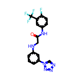 O=C(CNc1cccc(-n2cnnn2)c1)Nc1ccc(F)c(C(F)(F)F)c1